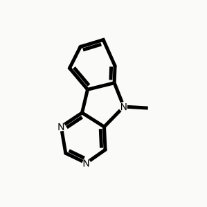 Cn1c2ccccc2c2ncncc21